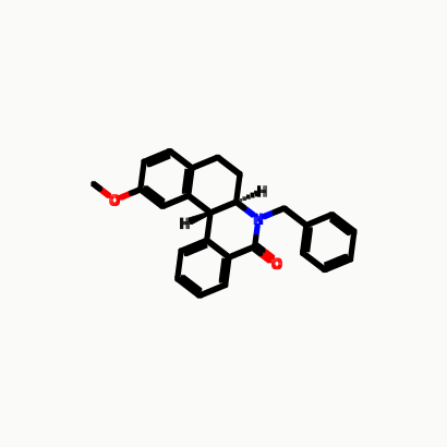 COc1ccc2c(c1)[C@H]1c3ccccc3C(=O)N(Cc3ccccc3)[C@@H]1CC2